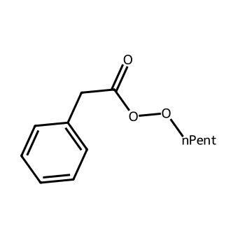 CCCCCOOC(=O)Cc1ccccc1